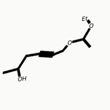 CCOC(C)OCC#CCC(C)O